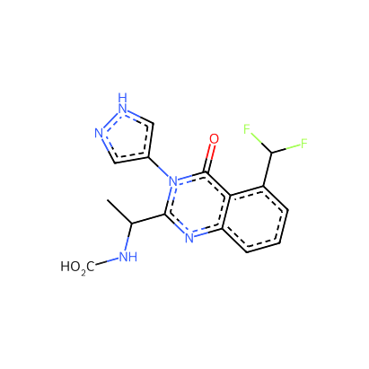 CC(NC(=O)O)c1nc2cccc(C(F)F)c2c(=O)n1-c1cn[nH]c1